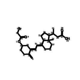 C=C1CCC(OC(=O)CBr)CC1=CC=C1CCCC2(C)C1CCC2C(C)CC(=O)O